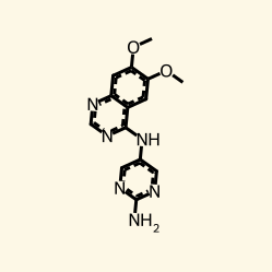 COc1cc2ncnc(Nc3cnc(N)nc3)c2cc1OC